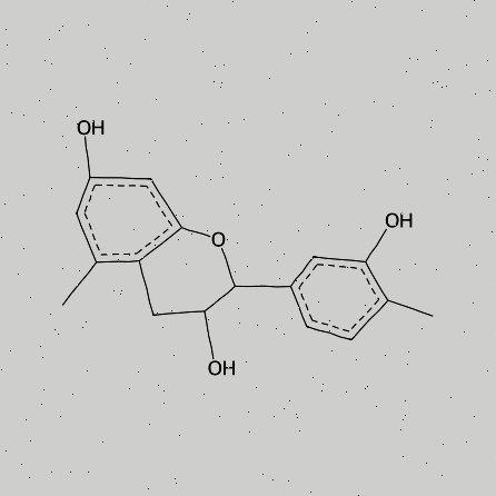 Cc1ccc(C2Oc3cc(O)cc(C)c3CC2O)cc1O